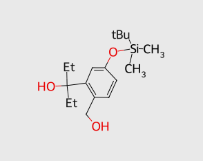 CCC(O)(CC)c1cc(O[Si](C)(C)C(C)(C)C)ccc1CO